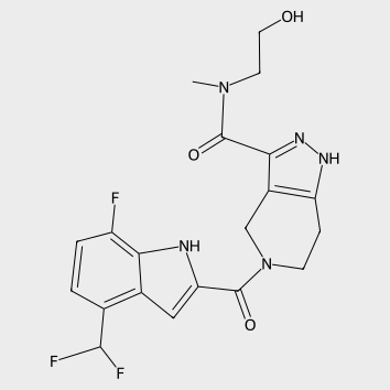 CN(CCO)C(=O)c1n[nH]c2c1CN(C(=O)c1cc3c(C(F)F)ccc(F)c3[nH]1)CC2